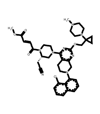 COC(=O)/C=C/C(=O)N1CCN(c2nc(OCC3(N4CCN(C)CC4)CC3)nc3c2CCN(c2cccc4cccc(Cl)c24)C3)C[C@@H]1CC#N